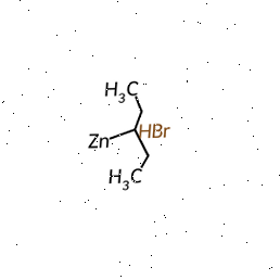 Br.CC[CH]([Zn])CC